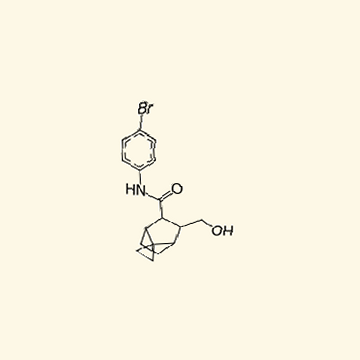 O=C(Nc1ccc(Br)cc1)C1C(CO)C2CCC1C21CC1